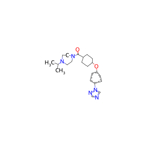 CC(C)N1CCN(C(=O)C2CCC(Oc3ccc(-n4cncn4)cc3)CC2)CC1